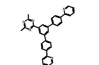 Cc1nc(C)nc(-c2cc(-c3ccc(-c4ccccn4)cc3)cc(-c3ccc(-c4ccccn4)cc3)c2)n1